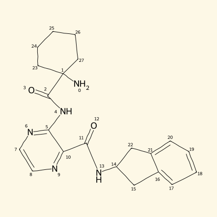 NC1(C(=O)Nc2nccnc2C(=O)NC2Cc3ccccc3C2)CCCCC1